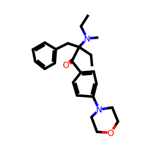 CCN(C)C(CC)(Cc1ccccc1)C(=O)c1ccc(N2CCOCC2)cc1